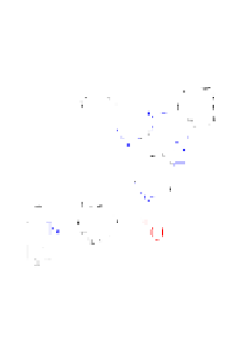 CN(C)c1ccc(C(=O)N2CCC3(CC2)Nc2ccccc2N=C3NC2CCCC2)cc1